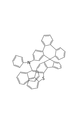 c1ccc(N(c2ccc3c(c2)C2(c4ccccc4-c4ccccc4-3)c3ccccc3-c3c2ccc2c3sc3ccccc32)c2cccc3ccccc23)cc1